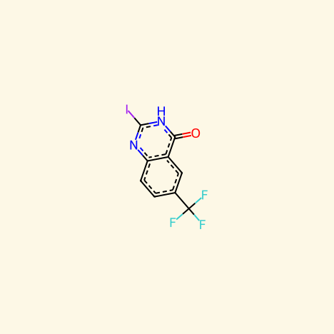 O=c1[nH]c(I)nc2ccc(C(F)(F)F)cc12